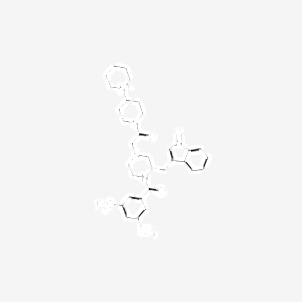 O=C(CN1CCN(C(=O)c2cc(C(F)(F)F)cc(C(F)(F)F)c2)[C@H](Cc2c[nH]c3ccccc23)C1)N1CCC([N+]2CCCCC2)CC1